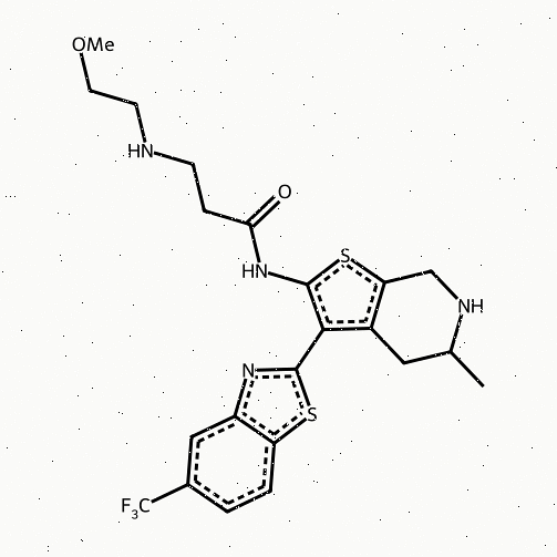 COCCNCCC(=O)Nc1sc2c(c1-c1nc3cc(C(F)(F)F)ccc3s1)CC(C)NC2